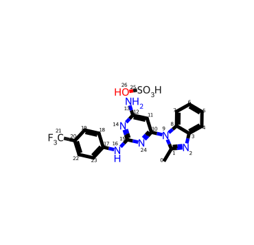 Cc1nc2ccccc2n1-c1cc(N)nc(Nc2ccc(C(F)(F)F)cc2)n1.O=S(=O)(O)O